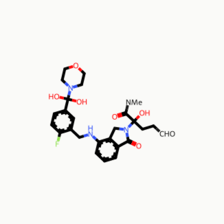 CNC(=O)C(O)(CCC=O)N1Cc2c(NCc3cc(C(O)(O)N4CCOCC4)ccc3F)cccc2C1=O